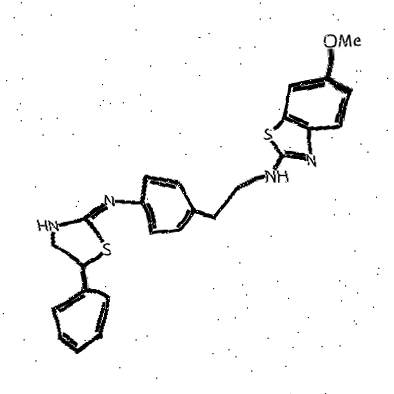 COc1ccc2nc(NCCc3ccc(/N=C4/NCC(c5ccccc5)S4)cc3)sc2c1